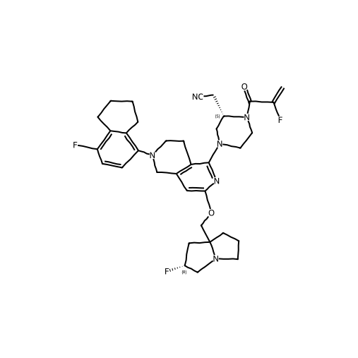 C=C(F)C(=O)N1CCN(c2nc(OCC34CCCN3C[C@H](F)C4)cc3c2CCN(c2ccc(F)c4c2CCCC4)C3)C[C@@H]1CC#N